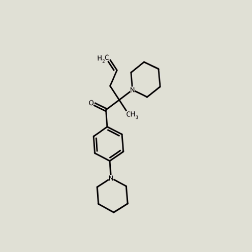 C=CCC(C)(C(=O)c1ccc(N2CCCCC2)cc1)N1CCCCC1